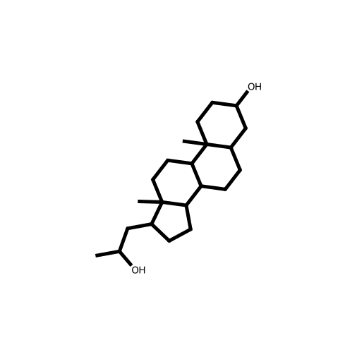 CC(O)CC1CCC2C3CCC4CC(O)CCC4(C)C3CCC12C